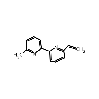 C=Cc1cccc(-c2cccc(C)n2)n1